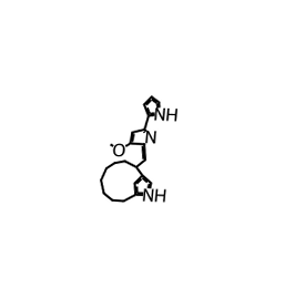 COC1=CC(c2ccc[nH]2)=N/C1=C/C1CCCCCCCc2cc1c[nH]2